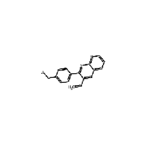 C=Cc1cc2cccnc2nc1-c1ccc(CCl)cc1